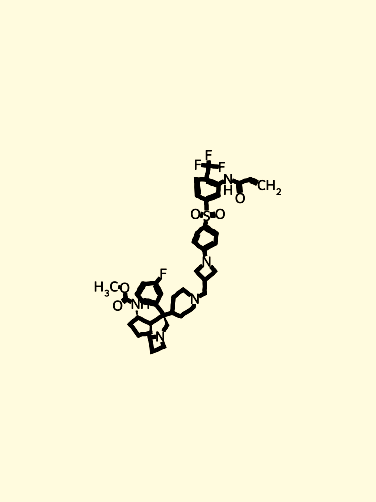 C=CC(=O)Nc1cc(S(=O)(=O)c2ccc(N3CC(CN4CCC([C@@](CN5CCC5)(c5cccc(F)c5)[C@H]5CCC[C@@H]5NC(=O)OC)CC4)C3)cc2)ccc1C(F)(F)F